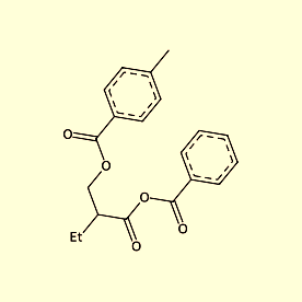 CCC(COC(=O)c1ccc(C)cc1)C(=O)OC(=O)c1ccccc1